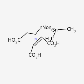 CCCCCCCCCCCC(=O)O.O=C(O)/C=C\C(=O)O.[CH3][Sn][CH3]